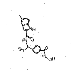 Cc1ccc2[nH]c(C(=O)NC(c3ccc(C(=O)NO)cc3)C(C)C)cc2c1